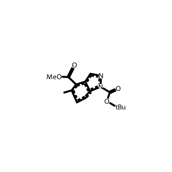 COC(=O)c1c(C)ccc2c1cnn2C(=O)OC(C)(C)C